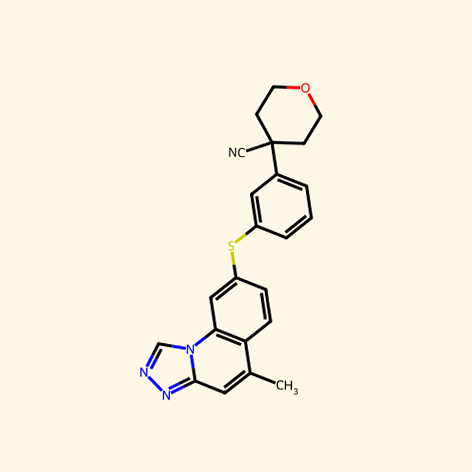 Cc1cc2nncn2c2cc(Sc3cccc(C4(C#N)CCOCC4)c3)ccc12